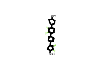 CCCCc1ccc(-c2ccc(-c3ccc(C4=CCC(CCC)CC4)c(F)c3F)cc2)c(F)c1F